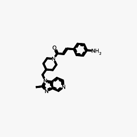 Cc1nc2cnccc2n1CC1CCN(C(=O)/C=C/c2ccc(N)cc2)CC1